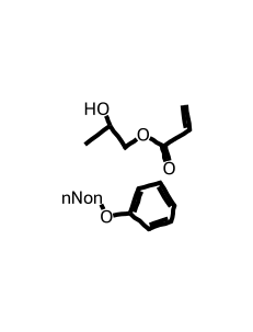 C=CC(=O)OCC(C)O.CCCCCCCCCOc1ccccc1